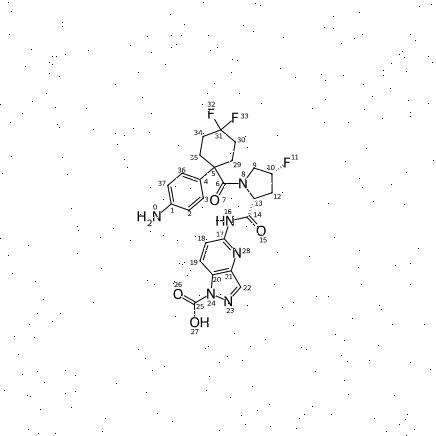 Nc1ccc(C2(C(=O)N3C[C@H](F)C[C@@H]3C(=O)Nc3ccc4c(cnn4C(=O)O)n3)CCC(F)(F)CC2)cc1